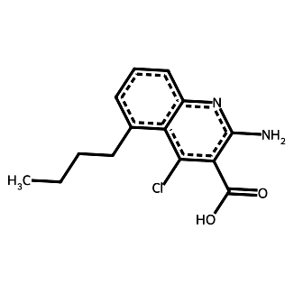 CCCCc1cccc2nc(N)c(C(=O)O)c(Cl)c12